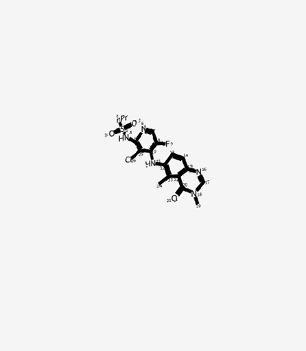 CCCS(=O)(=O)Nc1ncc(F)c(Nc2ccc3ncn(C)c(=O)c3c2C)c1Cl